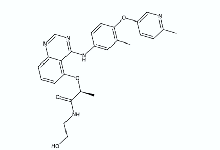 Cc1ccc(Oc2ccc(Nc3ncnc4cccc(O[C@@H](C)C(=O)NCCO)c34)cc2C)cn1